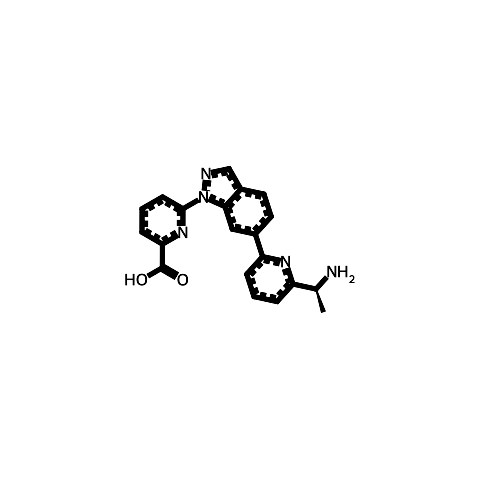 C[C@H](N)c1cccc(-c2ccc3cnn(-c4cccc(C(=O)O)n4)c3c2)n1